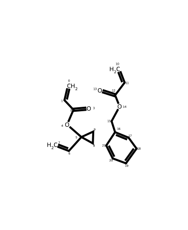 C=CC(=O)OC1(C=C)CC1.C=CC(=O)OCc1ccccc1